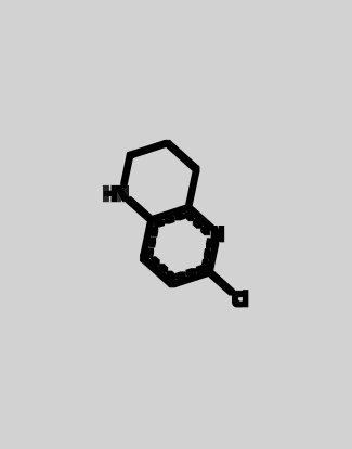 Clc1ccc2c(n1)CCCN2